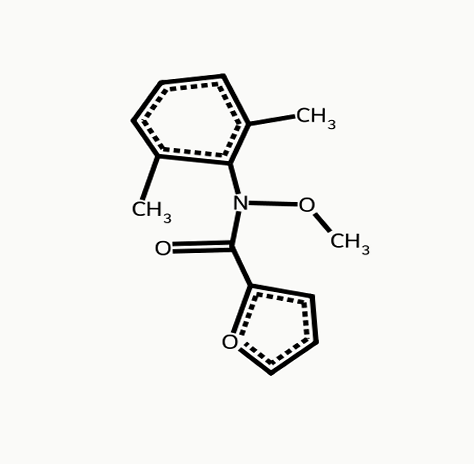 CON(C(=O)c1ccco1)c1c(C)cccc1C